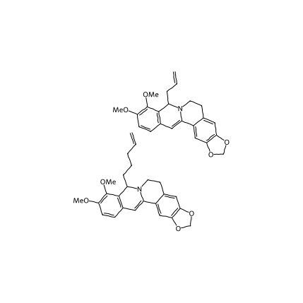 C=CCC1c2c(ccc(OC)c2OC)C=C2c3cc4c(cc3CCN21)OCO4.C=CCCCC1c2c(ccc(OC)c2OC)C=C2c3cc4c(cc3CCN21)OCO4